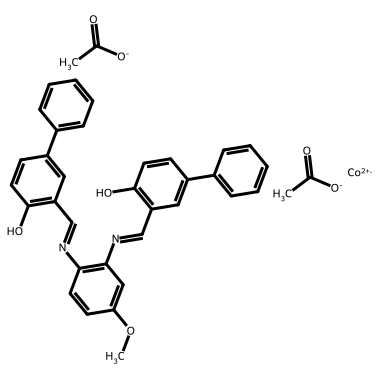 CC(=O)[O-].CC(=O)[O-].COc1ccc(N=Cc2cc(-c3ccccc3)ccc2O)c(N=Cc2cc(-c3ccccc3)ccc2O)c1.[Co+2]